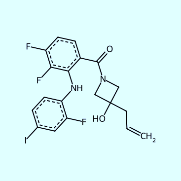 C=CCC1(O)CN(C(=O)c2ccc(F)c(F)c2Nc2ccc(I)cc2F)C1